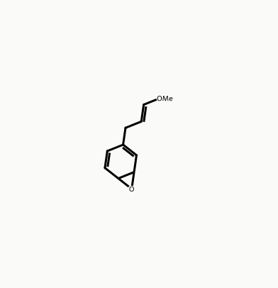 COC=CCC1=CC2OC2C=C1